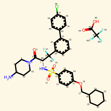 NC1CCN(C(=O)[C@@H](NS(=O)(=O)c2ccc(OCC3CCCCC3)cc2)C(F)(F)c2cccc(-c3ccc(Cl)cc3)c2)CC1.O=C(O)C(F)(F)F